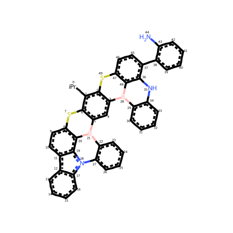 CC(C)c1c2c(cc3c1Sc1ccc4c5ccccc5n5c4c1B3c1ccccc1-5)B1c3ccccc3Nc3c(-c4ccccc4N)ccc(c31)S2